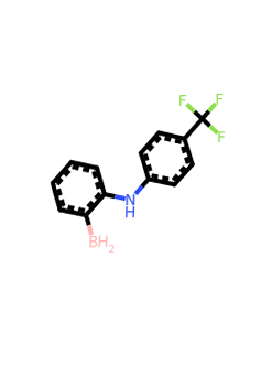 Bc1ccccc1Nc1ccc(C(F)(F)F)cc1